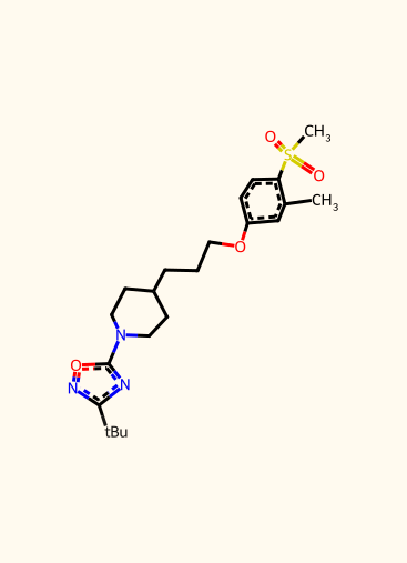 Cc1cc(OCCCC2CCN(c3nc(C(C)(C)C)no3)CC2)ccc1S(C)(=O)=O